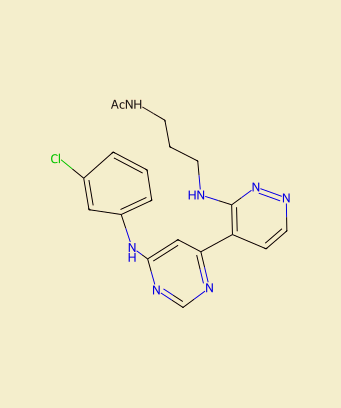 CC(=O)NCCCNc1nnccc1-c1cc(Nc2cccc(Cl)c2)ncn1